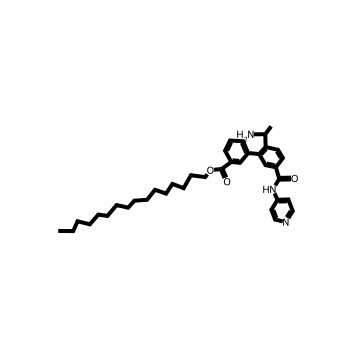 CCCCCCCCCCCCCCCCOC(=O)c1cccc(-c2cc(C(=O)Nc3ccncc3)ccc2C(C)N)c1